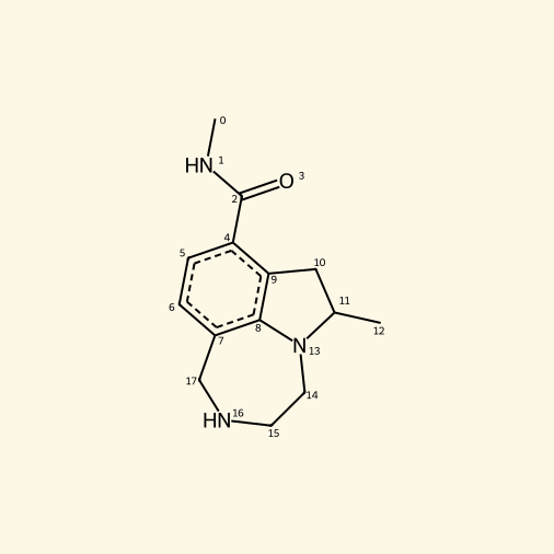 CNC(=O)c1ccc2c3c1CC(C)N3CCNC2